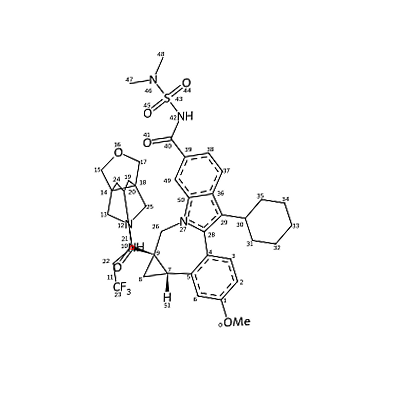 COc1ccc2c(c1)[C@@H]1C[C@]1(C(=O)N1CC34COCC3(CC(NCC(F)(F)F)C4)C1)Cn1c-2c(C2CCCCC2)c2ccc(C(=O)NS(=O)(=O)N(C)C)cc21